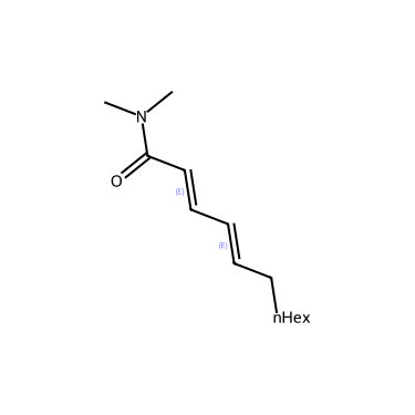 CCCCCCC/C=C/C=C/C(=O)N(C)C